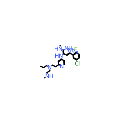 CCCN(CCNC)CCc1cc(NC(/C=C(\N)c2cc(Cl)ccc2F)=C(/N)NC)ccn1